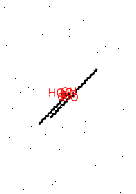 CCCCCCCCC=CCCCCCCCC(=O)C(CCCCCCCCCCCCCC)C(=O)C(OC(=O)CCCCCCCCCCCCCCCCC)C(O)CO